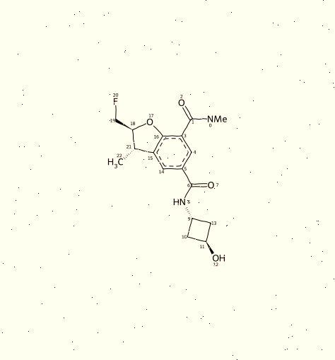 CNC(=O)c1cc(C(=O)N[C@H]2C[C@H](O)C2)cc2c1O[C@H](CF)[C@H]2C